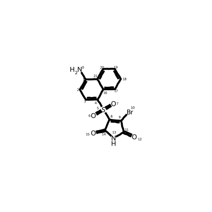 Nc1ccc(S(=O)(=O)C2=C(Br)C(=O)NC2=O)c2ccccc12